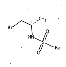 CC(C)C[C@H](C)NS(=O)(=O)C(C)(C)C